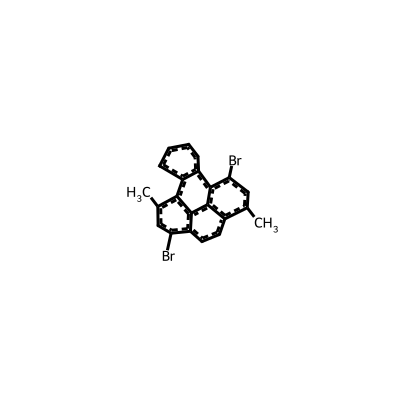 Cc1cc(Br)c2c3ccccc3c3c(C)cc(Br)c4ccc1c2c43